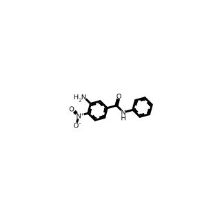 Nc1cc(C(=O)Nc2ccccc2)ccc1[N+](=O)[O-]